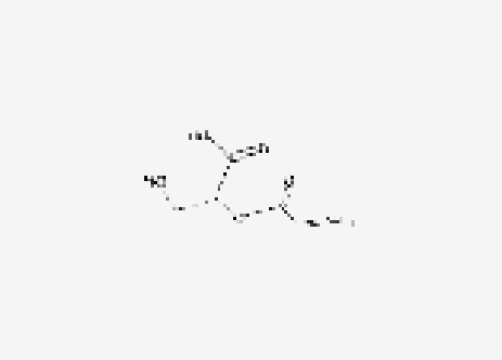 C=CC(=O)OC(CO)C(=O)O